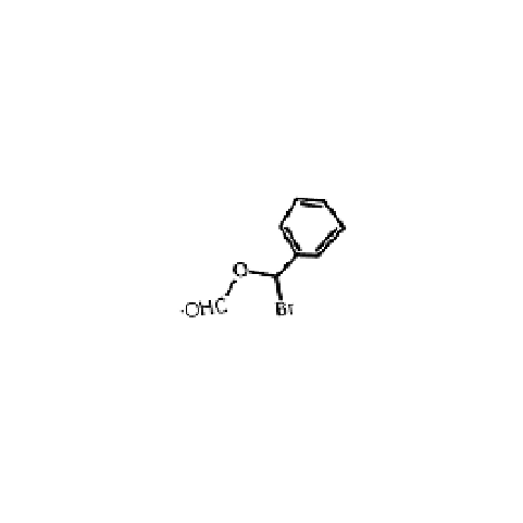 O=[C]OC(Br)c1ccccc1